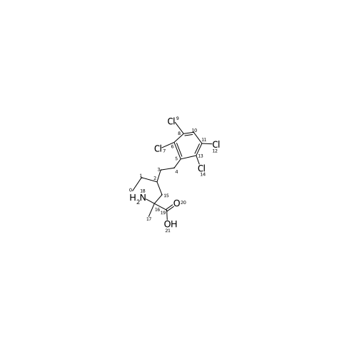 CCC(CCc1c(Cl)c(Cl)cc(Cl)c1Cl)CC(C)(N)C(=O)O